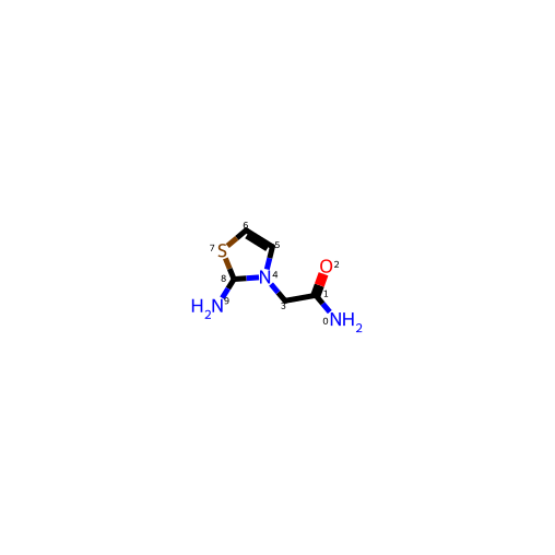 NC(=O)CN1C=CSC1N